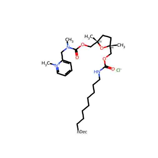 CCCCCCCCCCCCCCCCCCNC(=O)OC[C@@]1(C)CC[C@@](C)(COC(=O)N(C)Cc2cccc[n+]2C)O1.[Cl-]